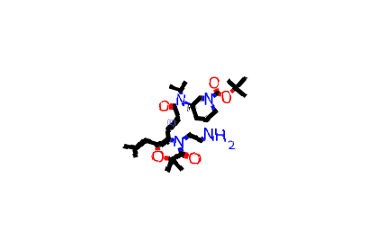 CC(C)=CC1=C(/C=C/C(=O)N(C(C)C)[C@@H]2CCCN(C(=O)OC(C)(C)C)C2)N(CCN)C(=O)C(C)(C)O1